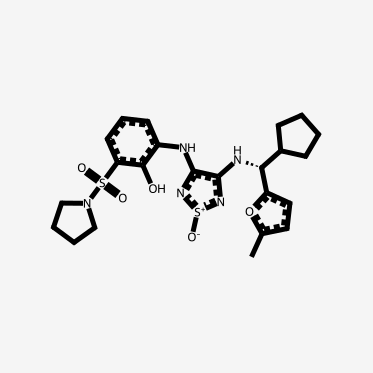 Cc1ccc([C@H](Nc2n[s+]([O-])nc2Nc2cccc(S(=O)(=O)N3CCCC3)c2O)C2CCCC2)o1